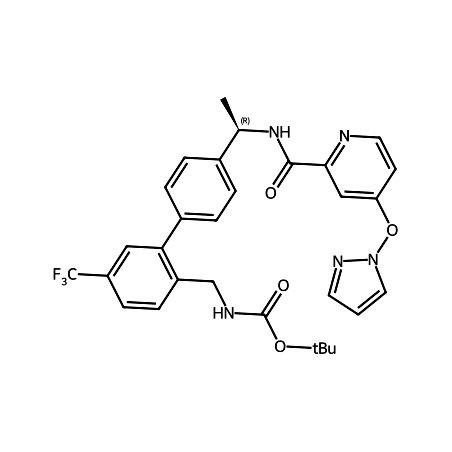 C[C@@H](NC(=O)c1cc(On2cccn2)ccn1)c1ccc(-c2cc(C(F)(F)F)ccc2CNC(=O)OC(C)(C)C)cc1